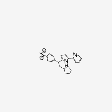 CS(=O)(=O)c1ccc(C(CC2CCCC2)c2ccc(-c3ccccn3)[nH]2)cc1